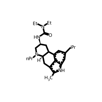 CCCN1C[C@@H](NC(=O)N(CC)CC)CC2c3cc(C(C)C)cc4[nH]c(C)c(c34)C[C@H]21